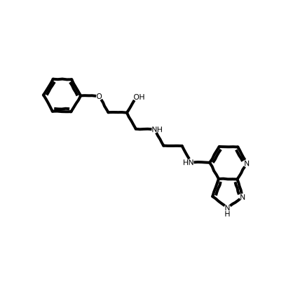 OC(CNCCNc1ccnc2n[nH]cc12)COc1ccccc1